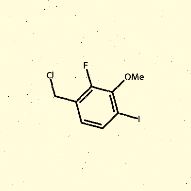 COc1c(I)ccc(CCl)c1F